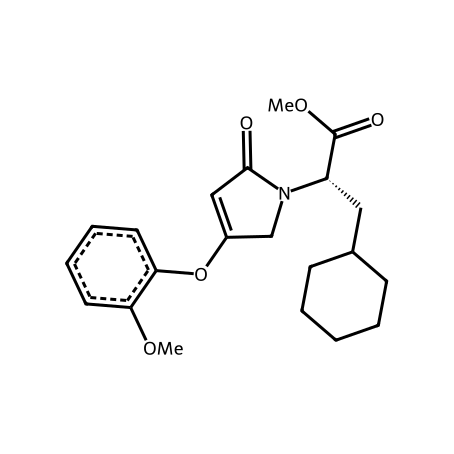 COC(=O)[C@H](CC1CCCCC1)N1CC(Oc2ccccc2OC)=CC1=O